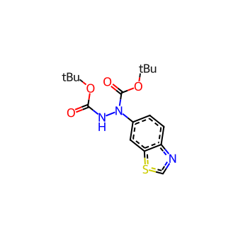 CC(C)(C)OC(=O)NN(C(=O)OC(C)(C)C)c1ccc2ncsc2c1